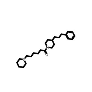 O=C(CCCCCN1CCCCC1)N1CCC(CCCc2ccccc2)CC1